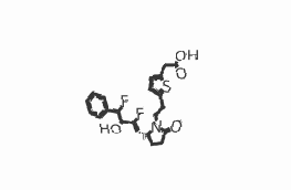 O=C(O)Cc1ccc(CCN2C(=O)CC[C@@H]2C=C(F)C(O)C(F)c2ccccc2)s1